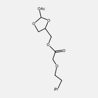 CC(=O)OC1OCC(COC(=O)COCCC(C)C)O1